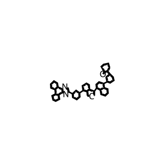 c1cc(-c2cnc3c4ccccc4c4ccccc4c3n2)cc(-c2cccc3c(-c4ccc(-c5cccc6c5oc5ccccc56)c5ccccc45)cccc23)c1